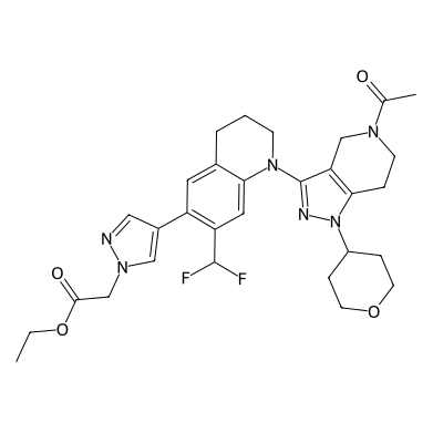 CCOC(=O)Cn1cc(-c2cc3c(cc2C(F)F)N(c2nn(C4CCOCC4)c4c2CN(C(C)=O)CC4)CCC3)cn1